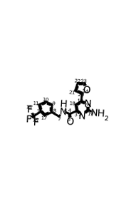 Nc1nc(C(=O)NCc2cccc(C(F)(F)F)c2)cc(-c2ccco2)n1